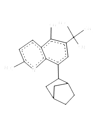 Cc1ccc2c(C)c(C(C)(C)C)cc(C3CC4CCC3C4)c2n1